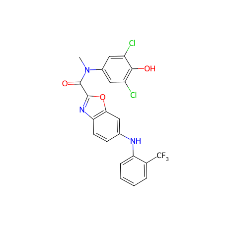 CN(C(=O)c1nc2ccc(Nc3ccccc3C(F)(F)F)cc2o1)c1cc(Cl)c(O)c(Cl)c1